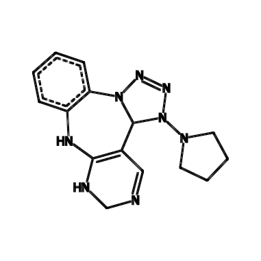 C1=NCNC2=C1C1N(N=NN1N1CCCC1)c1ccccc1N2